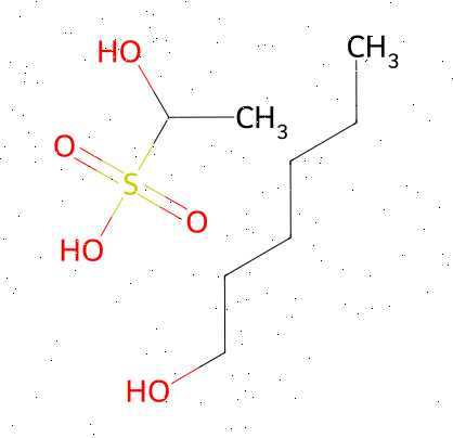 CC(O)S(=O)(=O)O.CCCCCCO